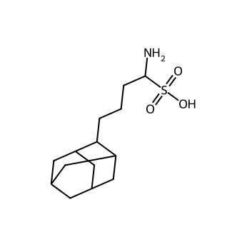 NC(CCCC1C2CC3CC(C2)CC1C3)S(=O)(=O)O